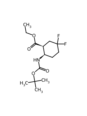 CCOC(=O)[C@H]1CC(F)(F)CC[C@H]1NC(=O)OC(C)(C)C